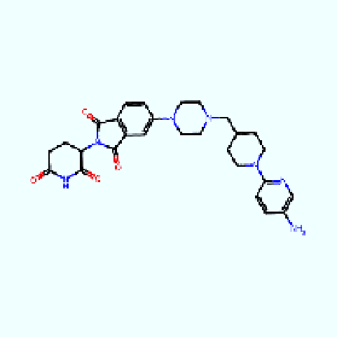 Nc1ccc(N2CCC(CN3CCN(c4ccc5c(c4)C(=O)N(C4CCC(=O)NC4=O)C5=O)CC3)CC2)nc1